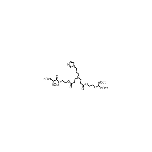 CCCCCCCCC(CCCCCCCC)OCCOC(=O)CCN(CCCn1ccnc1)CCC(=O)OCCOC(=O)C(CCCCCCCC)CCCCCCCC